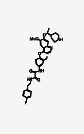 COc1cc2c(Oc3ccc(NC(=O)C(=O)NCCc4ccc(F)cc4)cc3F)ccnc2cc1OC(C)C1CCNCC1